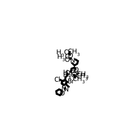 CC(C)(C)OC(=O)N1CCC[C@@H](C(CCOCCc2c(Cl)cc3c(cnn3C3CCCCO3)c2Br)O[Si](C)(C)C(C)(C)C)C1